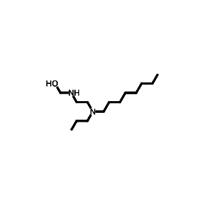 CCCCCCCCN(CCC)CCNCO